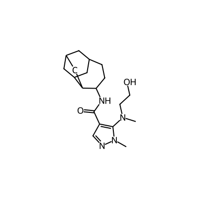 CN(CCO)c1c(C(=O)NC2CCC3CC4CC(C3)C2C4)cnn1C